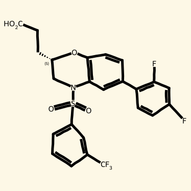 O=C(O)CC[C@H]1CN(S(=O)(=O)c2cccc(C(F)(F)F)c2)c2cc(-c3ccc(F)cc3F)ccc2O1